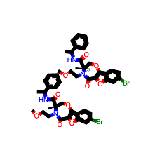 COCCN1C(=O)c2oc3cc(Br)ccc3c2OC[C@@]1(C)C(=O)NC(C)c1ccccc1.COCCN1C(=O)c2oc3cc(Br)ccc3c2OC[C@@]1(C)C(=O)NC(C)c1ccccc1